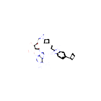 CCN1CNC(N)C2NCN([C@@H]3O[C@H](CN(C)[C@H]4C[C@H](CCC5Nc6ccc(C7CCC7)cc6N5)C4)[C@@H](O)[C@H]3O)C21